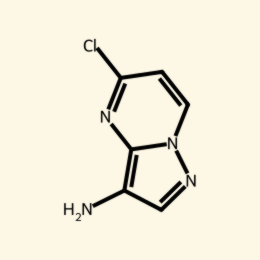 Nc1cnn2ccc(Cl)nc12